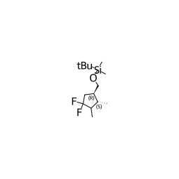 CC1[C@@H](C)[C@H](CO[Si](C)(C)C(C)(C)C)CC1(F)F